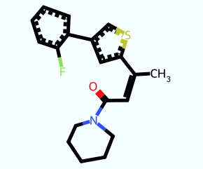 C/C(=C/C(=O)N1CCCCC1)c1cc(-c2ccccc2F)cs1